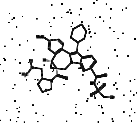 CCN(C)CC1CCCN1C(=O)[C@]12C[C@H]1c1cc(OC)ccc1-c1c(C3CCCCC3)c3ccc(C(=O)NS(=O)(=O)CC(C)C)cc3n1C2